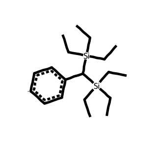 CC[Si](CC)(CC)C(c1cc[c]cc1)[Si](CC)(CC)CC